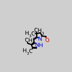 CCc1c(C)c[nH]c1/C=C1\N=C(C=O)CC1(C)C